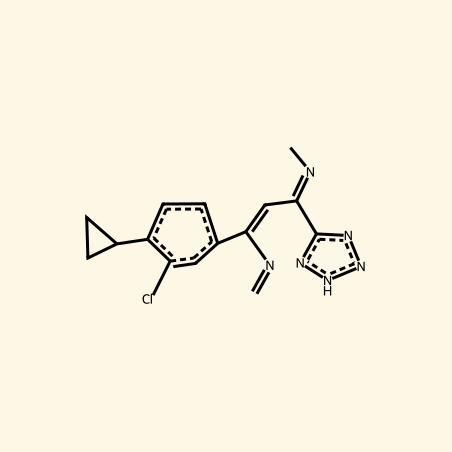 C=N/C(=C\C(=N/C)c1nn[nH]n1)c1ccc(C2CC2)c(Cl)c1